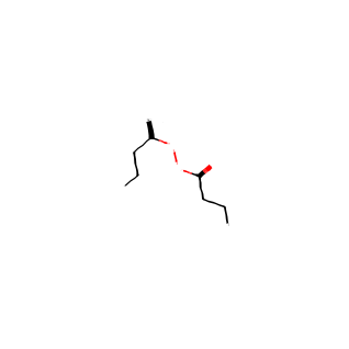 C=C(CCC)OOC(=O)CCC